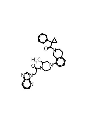 CC1CN(c2cccc3c2CN(C(=O)C2(c4ccccc4)CC2)CC3)CCN1C(=O)Cn1cnc2cccnc21